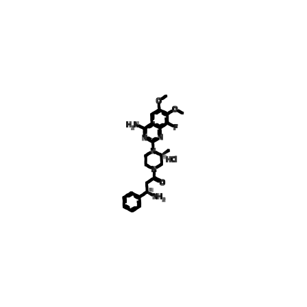 COc1cc2c(N)nc(N3CCN(C(=O)C[C@@H](N)c4ccccc4)C[C@@H]3C)nc2c(F)c1OC.Cl